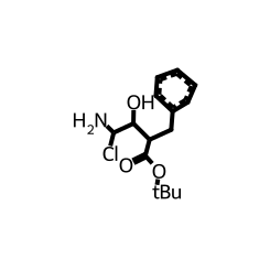 CC(C)(C)OC(=O)C(Cc1ccccc1)C(O)C(N)Cl